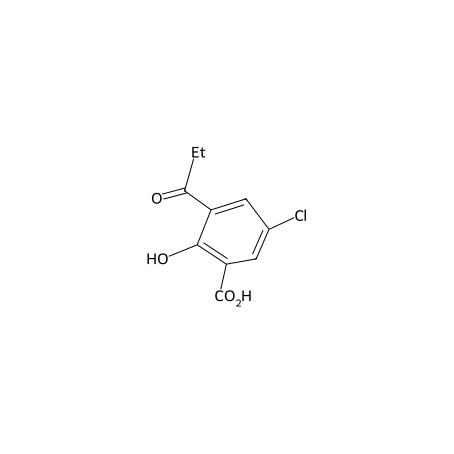 CCC(=O)c1cc(Cl)cc(C(=O)O)c1O